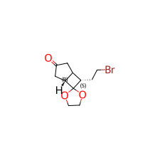 O=C1CC2[C@@H](C1)C1(OCCO1)[C@H]2CCBr